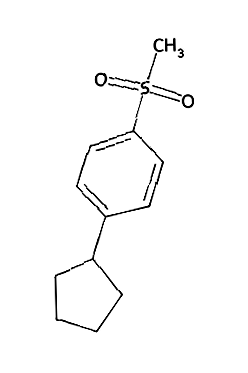 CS(=O)(=O)c1ccc(C2CCCC2)cc1